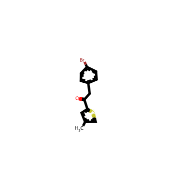 Cc1csc(C(=O)Cc2ccc(Br)cc2)c1